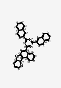 c1ccc2cc(-c3nc(-c4ccc5ccccc5c4)nc(-c4cc5oc6cccnc6c5c5ccccc45)n3)ccc2c1